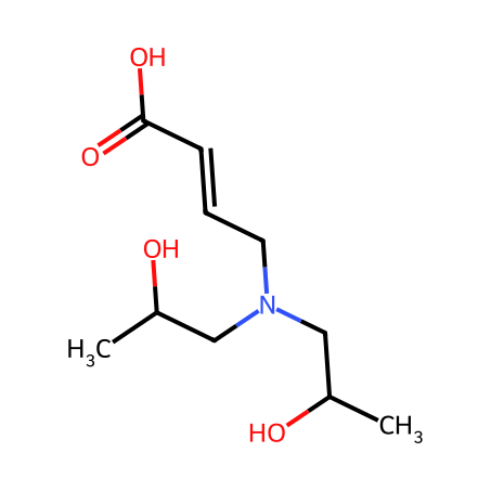 CC(O)CN(CC=CC(=O)O)CC(C)O